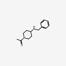 CC(=O)N1CCC(NCc2ccccc2)CC1